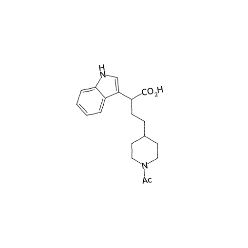 CC(=O)N1CCC(CCC(C(=O)O)c2c[nH]c3ccccc23)CC1